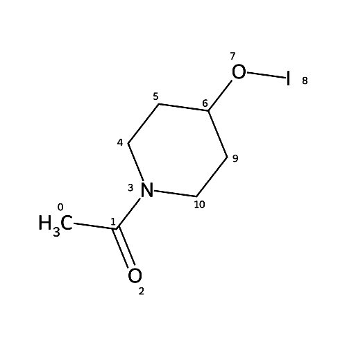 CC(=O)N1CCC(OI)CC1